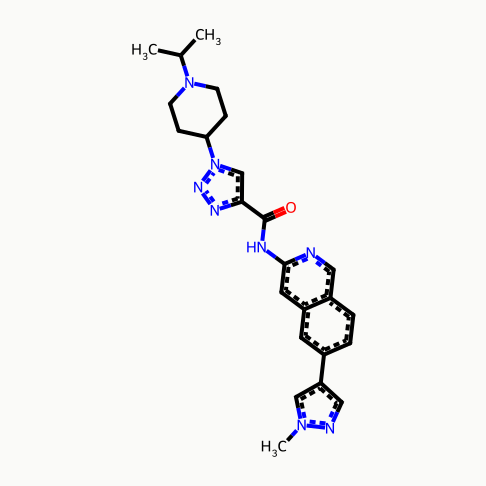 CC(C)N1CCC(n2cc(C(=O)Nc3cc4cc(-c5cnn(C)c5)ccc4cn3)nn2)CC1